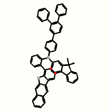 CC1(C)c2ccccc2-c2ccc(N(c3ccc(-c4ccc(-c5ccccc5)c(-c5ccccc5)c4)cc3)c3ccccc3-c3cccc4c3oc3cc5ccccc5cc34)cc21